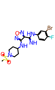 CS(=O)(=O)N1CCC(Nc2nonc2C(=N)Nc2ccc(F)c(Br)c2)CC1